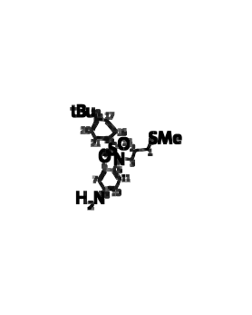 CSCCCN(c1ccc(N)cc1)S(=O)(=O)c1ccc(C(C)(C)C)cc1